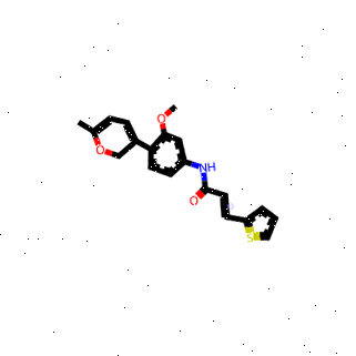 COc1cc(NC(=O)/C=C/c2cccs2)ccc1C1=CC=C(C)OC1